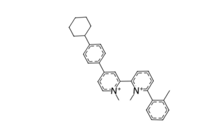 Cc1ccccc1-c1cccc(-c2cc(-c3ccc(C4CCCCC4)cc3)cc[n+]2C)[n+]1C